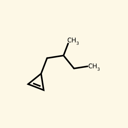 CCC(C)CC1C=C1